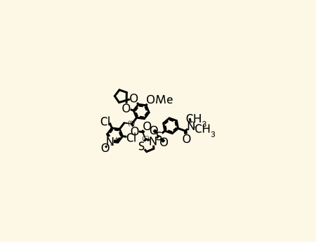 COc1ccc([C@H](Cc2c(Cl)c[n+]([O-])cc2Cl)OC(=O)[C@@H]2SCCN2S(=O)(=O)c2cccc(C(=O)N(C)C)c2)c2c1OC1(CCCC1)O2